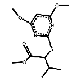 COC(=O)C(Sc1nc(OC)cc(OC)n1)C(C)C